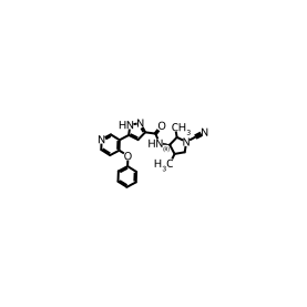 CC1CN(C#N)C(C)[C@@H]1NC(=O)c1cc(-c2cnccc2Oc2ccccc2)[nH]n1